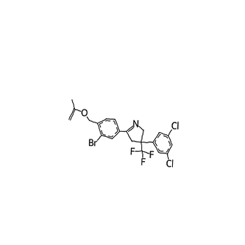 C=C(C)OCc1ccc(C2=NCC(c3cc(Cl)cc(Cl)c3)(C(F)(F)F)C2)cc1Br